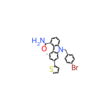 NC(=O)c1cccc2c1c1[c]cc(-c3cccs3)cc1n2Cc1ccc(Br)cc1